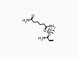 C=CC(N)=O.CC(C)=O.CC(C)=O.NC(=O)CCCCC(N)=O